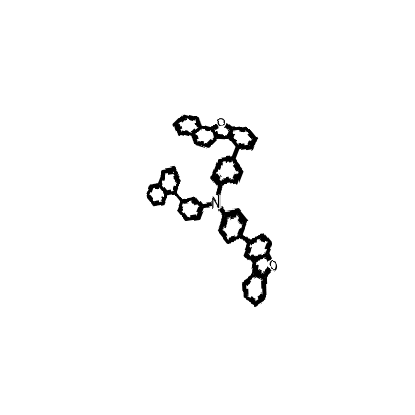 c1cc(-c2cccc3ccccc23)cc(N(c2ccc(-c3ccc4oc5ccccc5c4c3)cc2)c2ccc(-c3cccc4oc5c6ccccc6ccc5c34)cc2)c1